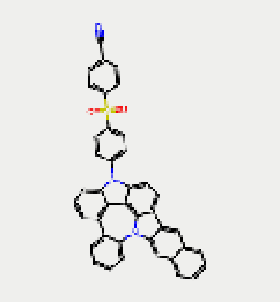 N#Cc1ccc(S(=O)(=O)c2ccc(-n3c4cccc5c6ccccc6n6c7cc8ccccc8cc7c7ccc3c(c54)c76)cc2)cc1